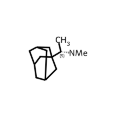 CN[C@@H](C)C12CC3CC(CC(C3)C1)C2